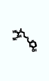 CN(CCSCc1nccc(O)n1)C(=N)NC#N